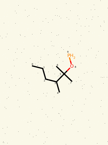 CCCC(C)C(C)(C)OP